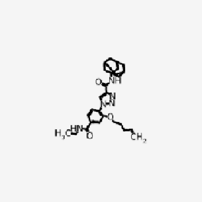 C=CCCCOc1cc(C(=O)NCC)ccc1-n1cc(C(=O)NC23CC4CC(CC(C4)C2)C3)nn1